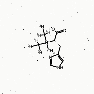 [2H]C([2H])([2H])[N+](C)([C@@H](Cc1c[nH]cn1)C(=O)O)C([2H])([2H])[2H]